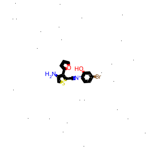 Nc1csc(C#[N+]c2ccc(Br)cc2O)c1-c1ccco1